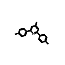 Cc1ccc(-c2cc(C)cc(-c3ccc(C)cc3)n2)cc1